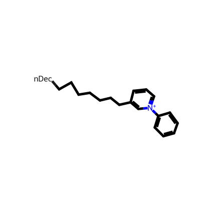 CCCCCCCCCCCCCCCCCc1ccc[n+](-c2ccccc2)c1